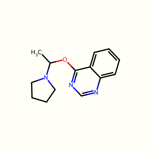 CC(Oc1ncnc2ccccc12)N1CCCC1